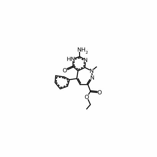 CCOC(=O)C1=NN(C)c2nc(N)[nH]c(=O)c2C(c2ccccc2)=C1